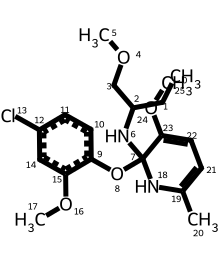 CCC(COC)NC1(Oc2ccc(Cl)cc2OC)NC(C)=CC=C1OC